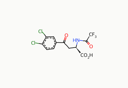 O=C(C[C@@H](NC(=O)C(F)(F)F)C(=O)O)c1ccc(Cl)c(Cl)c1